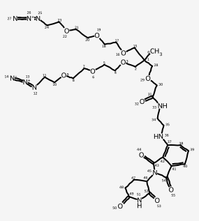 CC(COCCOCCOCCN=[N+]=[N-])(COCCOCCOCCN=[N+]=[N-])COCC(=O)NCCNc1cccc2c1C(=O)N(C1CCC(=O)NC1=O)C2=O